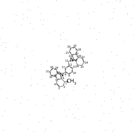 CC1CC=Cc2c1n(-c1cccc(Cn3c4c(c5ccccc53)C=CCC4)c1)c1ccccc21